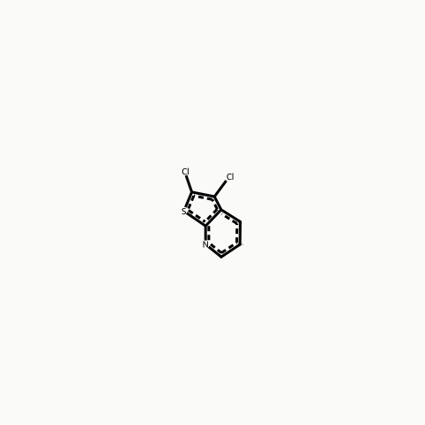 Clc1sc2nc[c]cc2c1Cl